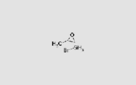 CC1CO1.[SiH3]Br